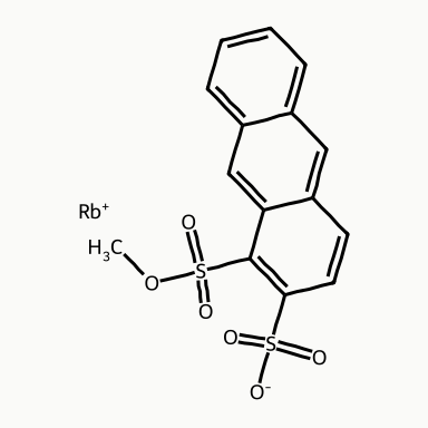 COS(=O)(=O)c1c(S(=O)(=O)[O-])ccc2cc3ccccc3cc12.[Rb+]